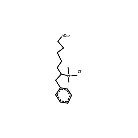 CCCCCCCCCCCCCCCC(Cc1ccccc1)[N+](C)(C)C.[Cl-]